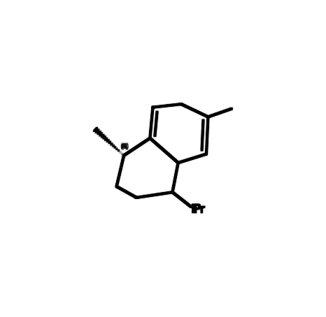 CC1=CC2C(=CC1)[C@@H](C)CCC2C(C)C